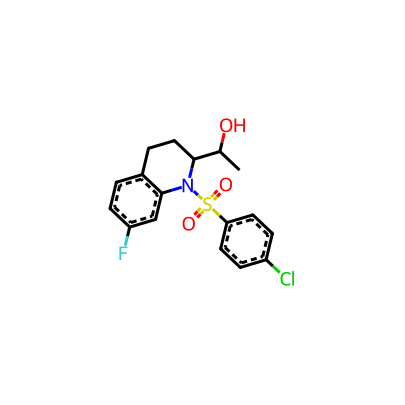 CC(O)C1CCc2ccc(F)cc2N1S(=O)(=O)c1ccc(Cl)cc1